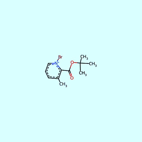 Cc1ccc[n+](Br)c1C(=O)OC(C)(C)C